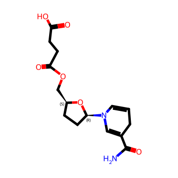 NC(=O)C1=CN([C@H]2CC[C@@H](COC(=O)CCC(=O)O)O2)C=CC1